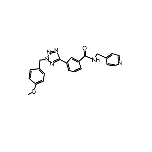 COc1ccc(Cn2nnc(-c3cccc(C(=O)NCc4ccncc4)c3)n2)cc1